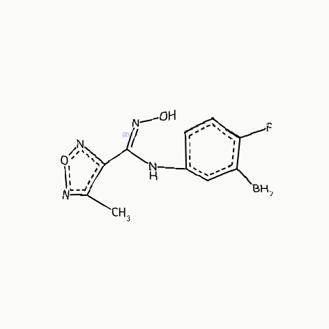 Bc1cc(N/C(=N\O)c2nonc2C)ccc1F